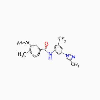 CNc1cc(C(=O)Nc2cc(-n3cnc(C)c3)cc(C(F)(F)F)c2)ccc1C